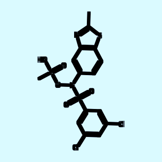 Cc1nc2cc(N(OP(C)(=O)O)S(=O)(=O)c3cc(Cl)cc(Cl)c3)ccc2s1